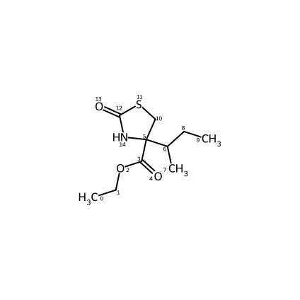 CCOC(=O)C1(C(C)CC)CSC(=O)N1